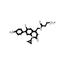 Nc1ccc(-c2cc3c(cc2F)c(COC(=O)CCC(=O)O)cc(=O)n3C2CC2)cc1